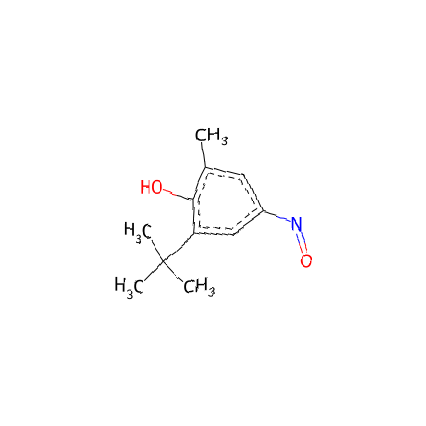 Cc1cc(N=O)cc(C(C)(C)C)c1O